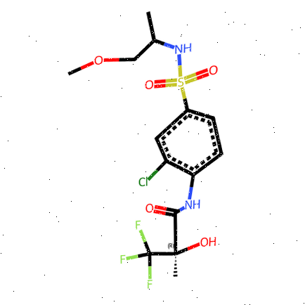 COCC(C)NS(=O)(=O)c1ccc(NC(=O)[C@@](C)(O)C(F)(F)F)c(Cl)c1